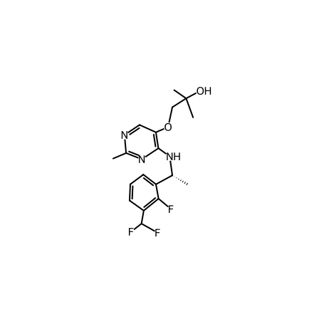 Cc1ncc(OCC(C)(C)O)c(N[C@H](C)c2cccc(C(F)F)c2F)n1